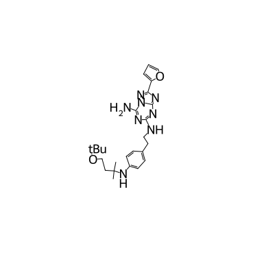 CC(C)(CCOC(C)(C)C)Nc1ccc(CCNc2nc(N)n3nc(-c4ccco4)nc3n2)cc1